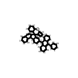 c1ccc(-c2c3ccccc3c(-c3ccc4c(c3)C3(c5ccccc5Oc5ccccc53)c3ccc5ccccc5c3-4)c3ccccc23)cc1